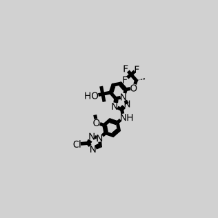 COc1cc(Nc2nc3c(C(C)(C)O)ccc(O[C@@H](C)C(F)(F)F)n3n2)ccc1-n1cnc(Cl)n1